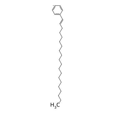 CCCCCCCCCCCCCCCCCCC=Cc1cc[c]cc1